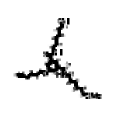 C#CCCCCOc1cc(C(=O)NCCCCCCO)cc(C(=O)NCCCCCCOC)c1